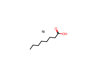 CCCCCCCC(=O)O.[Ni]